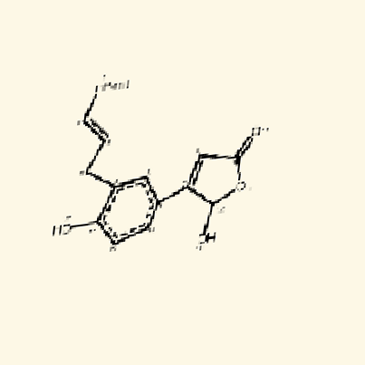 CCCCCC=CCc1cc(C2=CC(=O)OC2O)ccc1O